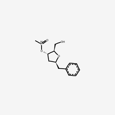 C[PH](=O)O[C@H]1C[C@H](Cc2ccccc2)O[C@@H]1CO